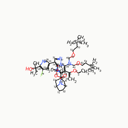 C=C(OCC)c1c(C2CC3CCC(C2)N3C(=O)OC(C)(C)C)nc2c(-c3cnc(C(C)(C)O)c(F)c3)cnn2c1N(COCC[Si](C)(C)C)COCC[Si](C)(C)C